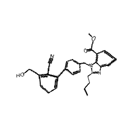 CCCCc1nc2cccc(C(=O)OC)c2n1Cc1ccc(-c2cccc(CO)c2C#N)cc1